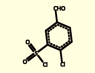 O=Cc1ccc(Cl)c(S(=O)(=O)Cl)c1